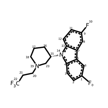 Fc1ccc2c(c1)c1cc(F)ccc1n2[C@H]1CCCN(CCC(F)(F)F)C1